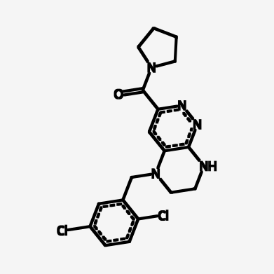 O=C(c1cc2c(nn1)NCCN2Cc1cc(Cl)ccc1Cl)N1CCCC1